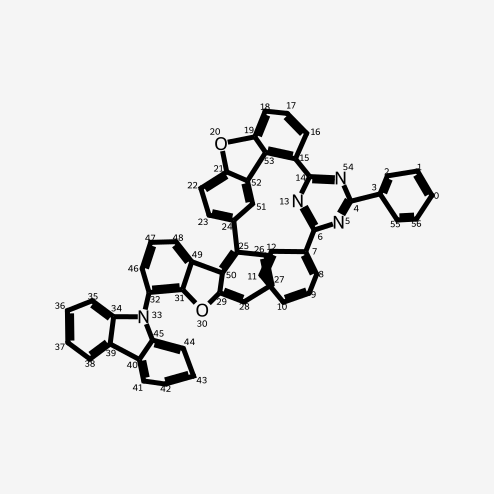 c1ccc(-c2nc(-c3ccccc3)nc(-c3cccc4oc5ccc(-c6cccc7oc8c(-n9c%10ccccc%10c%10ccccc%109)cccc8c67)cc5c34)n2)cc1